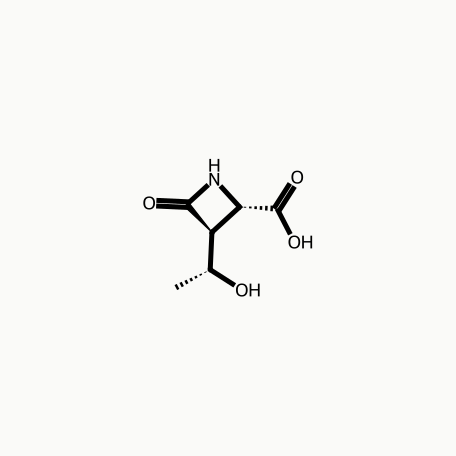 C[C@@H](O)[C@H]1C(=O)N[C@@H]1C(=O)O